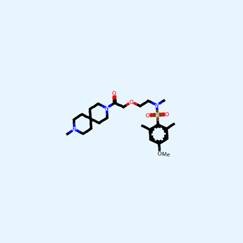 COc1cc(C)c(S(=O)(=O)N(C)CCOCC(=O)N2CCC3(CCN(C)CC3)CC2)c(C)c1